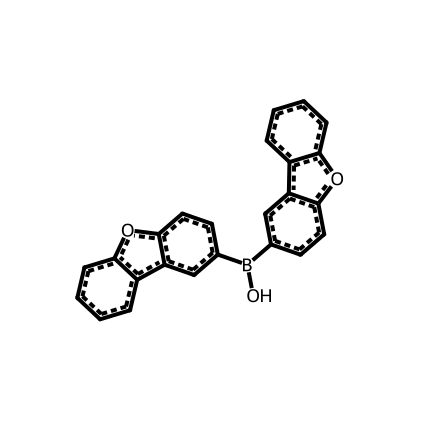 OB(c1ccc2oc3ccccc3c2c1)c1ccc2oc3ccccc3c2c1